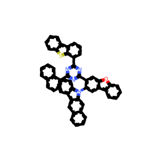 c1ccc2cc3c(cc2c1)c1ccccc1n3-c1cc2c(cc1-c1nc(-c3cccc4ccccc34)nc(-c3cccc4c3sc3ccccc34)n1)oc1ccccc12